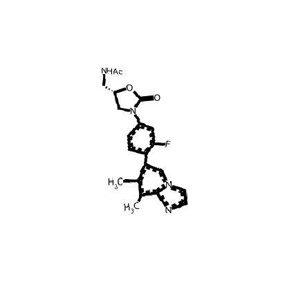 CC(=O)NC[C@H]1CN(c2ccc(-c3cn4ccnc4c(C)c3C)c(F)c2)C(=O)O1